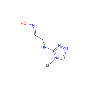 CCn1cnnc1NC[C]=NO